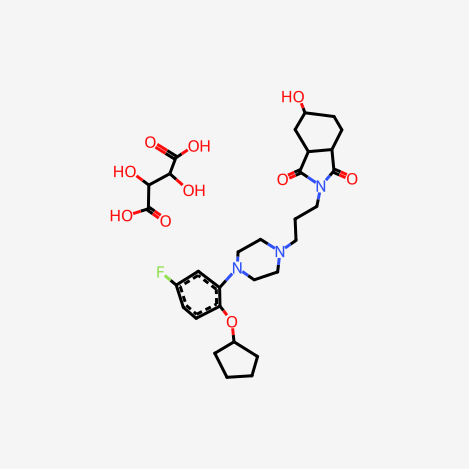 O=C(O)C(O)C(O)C(=O)O.O=C1C2CCC(O)CC2C(=O)N1CCCN1CCN(c2cc(F)ccc2OC2CCCC2)CC1